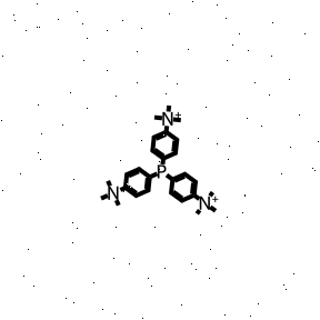 C[N+](C)(C)c1ccc(P(c2ccc([N+](C)(C)C)cc2)c2ccc([N+](C)(C)C)cc2)cc1